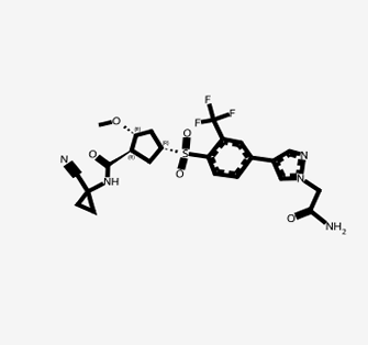 CO[C@@H]1C[C@H](S(=O)(=O)c2ccc(-c3cnn(CC(N)=O)c3)cc2C(F)(F)F)C[C@H]1C(=O)NC1(C#N)CC1